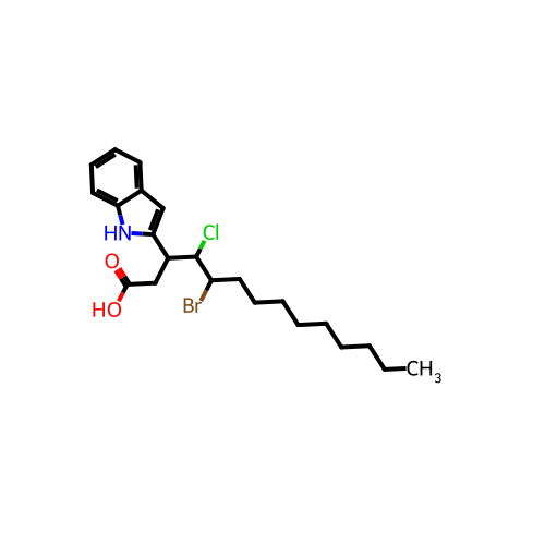 CCCCCCCCCC(Br)C(Cl)C(CC(=O)O)c1cc2ccccc2[nH]1